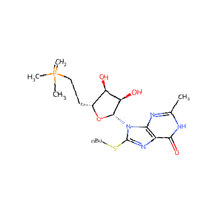 C=P(C)(C)CC[C@H]1O[C@@H](n2c(SCCCC)nc3c(=O)[nH]c(C)nc32)[C@H](O)[C@@H]1O